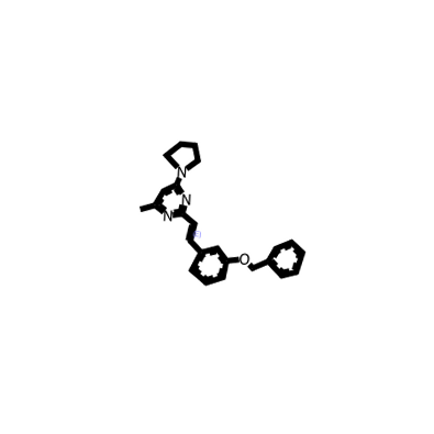 Cc1cc(N2CCCC2)nc(/C=C/c2cccc(OCc3ccccc3)c2)n1